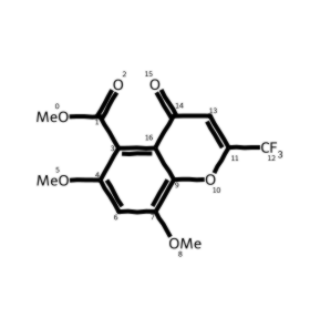 COC(=O)c1c(OC)cc(OC)c2oc(C(F)(F)F)cc(=O)c12